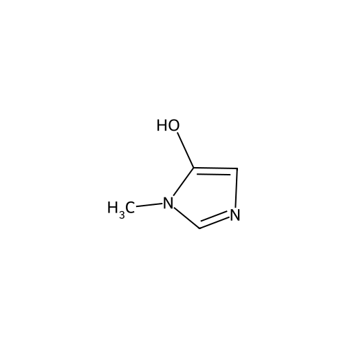 Cn1cncc1O